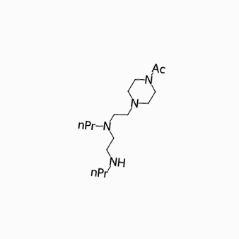 CCCNCCN(CCC)CCN1CCN(C(C)=O)CC1